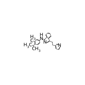 Cc1cc(Nc2ncc(CCc3cccnc3)c3ccccc23)ccc1C(C)C